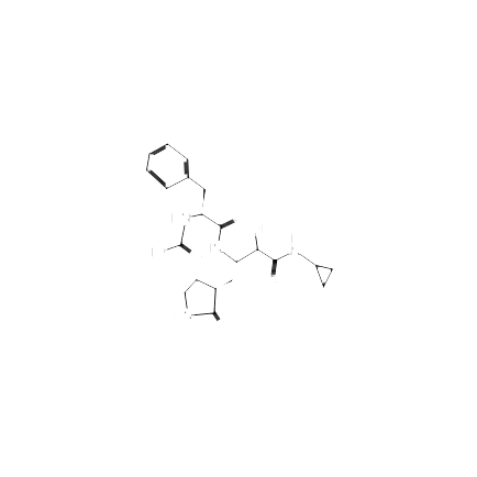 O=C(O)N[C@@H](Cc1ccccc1)C(=O)N[C@@H](C[C@@H]1CCNC1=O)C(O)C(=O)NC1CC1